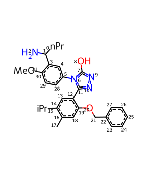 CCCC(N)c1cc(-n2c(O)nnc2-c2cc(C(C)C)c(C)cc2OCc2ccccc2)ccc1OC